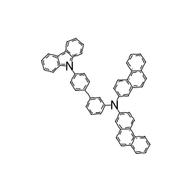 c1cc(-c2ccc(-n3c4ccccc4c4ccccc43)cc2)cc(N(c2ccc3c(ccc4ccccc43)c2)c2ccc3c(ccc4ccccc43)c2)c1